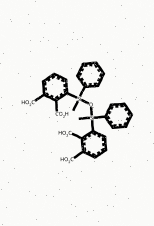 C[Si](O[Si](C)(c1ccccc1)c1cccc(C(=O)O)c1C(=O)O)(c1ccccc1)c1cccc(C(=O)O)c1C(=O)O